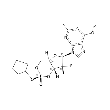 Cc1nc(OC(C)C)c2ncn([C@@H]3O[C@@H]4CO[P@](=O)(OC5CCCC5)O[C@H]4[C@@]3(C)F)c2n1